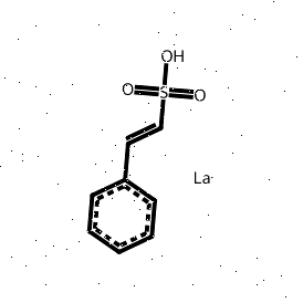 O=S(=O)(O)C=Cc1ccccc1.[La]